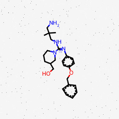 CC(C)(CN)CN/C(=N/c1ccc(OCc2ccccc2)cc1)N1CCCC(CO)C1